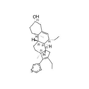 CCC1=C(c2ccsc2)[C@@]2(C)CC[C@H]3[C@@H]([C@@H](CC)C=C4C[C@@H](O)CC[C@@]43C)[C@@H]2C1